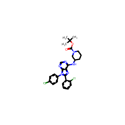 CC(C)(C)OC(=O)N1CCCC(Nc2ncnc3c2nc(-c2ccccc2Cl)n3-c2ccc(Cl)cc2)C1